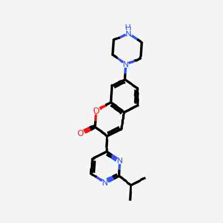 CC(C)c1nccc(-c2cc3ccc(N4CCNCC4)cc3oc2=O)n1